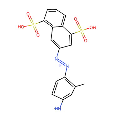 Cc1cc([NH])ccc1/N=N/c1cc(S(=O)(=O)O)c2cccc(S(=O)(=O)O)c2c1